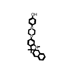 CN1c2cc(N3CCN(c4ccc(O)cc4)CC3)ccc2C(C)(C)C12C=Cc1ccccc1C2